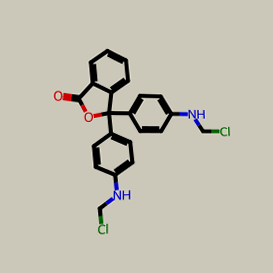 O=C1OC(c2ccc(NCCl)cc2)(c2ccc(NCCl)cc2)c2ccccc21